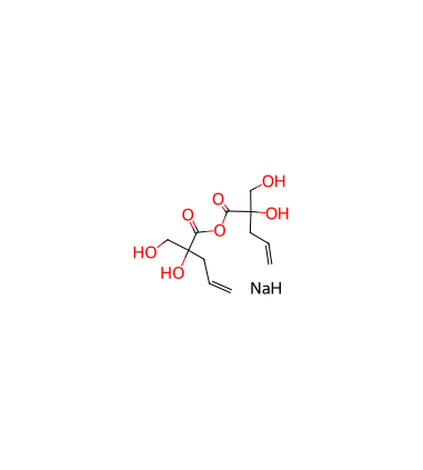 C=CCC(O)(CO)C(=O)OC(=O)C(O)(CO)CC=C.[NaH]